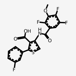 COc1c(F)c(F)cc(C(=O)Nc2csc(-c3cccc(F)c3)c2C(=O)O)c1F